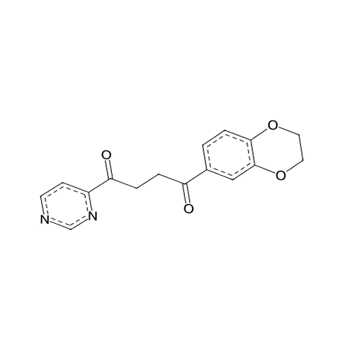 O=C(CCC(=O)c1ccncn1)c1ccc2c(c1)OCCO2